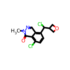 Cn1ncc2c(C(Cl)C3COC3)ccc(Cl)c2c1=O